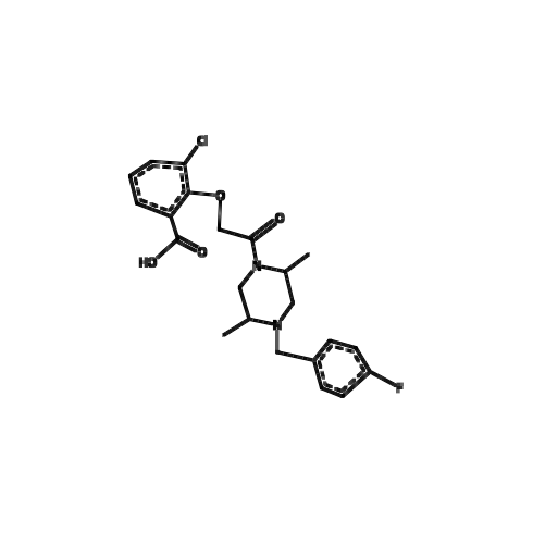 CC1CN(C(=O)COc2c(Cl)cccc2C(=O)O)C(C)CN1Cc1ccc(F)cc1